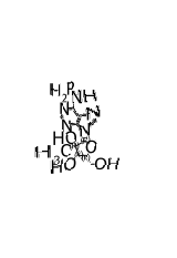 C[C@@]1(O)[C@H](O)[C@@H](CO)O[C@H]1n1cnc2c(NP)ncnc21